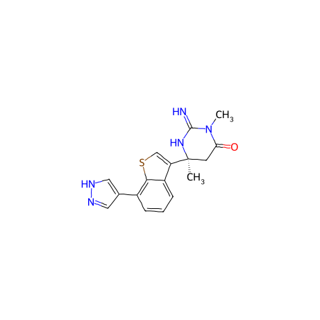 CN1C(=N)N[C@](C)(c2csc3c(-c4cn[nH]c4)cccc23)CC1=O